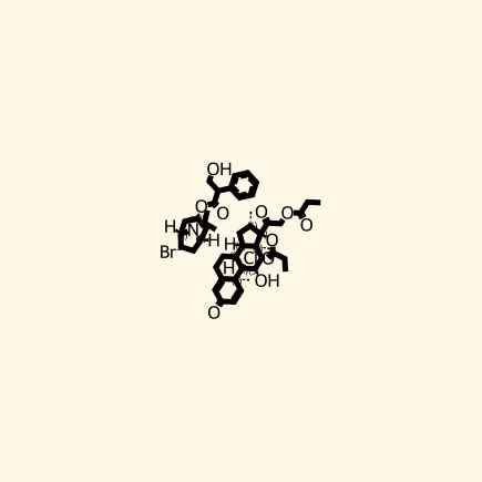 CC(C)[N+]1(C)[C@@H]2CC[C@H]1C[C@@H](OC(=O)C(CO)c1ccccc1)C2.CCC(=O)OCC(=O)[C@@]1(OC(=O)CC)[C@@H](C)C[C@H]2[C@@H]3CCC4=CC(=O)C=C[C@]4(C)[C@@]3(Cl)[C@@H](O)C[C@@]21C.[Br-]